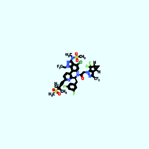 [CH2]N(c1nn(CC(F)(F)F)c2c(-c3ccc(C#CC(C)(C)S(C)(=O)=O)nc3[C@H](Cc3cc(F)cc(F)c3)NC(=O)Cn3nc(C(F)(F)F)c4c3C(F)(F)[C@@H]3C[C@H]43)ccc(Cl)c12)S(C)(=O)=O